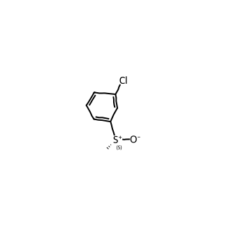 C[S@@+]([O-])c1cccc(Cl)c1